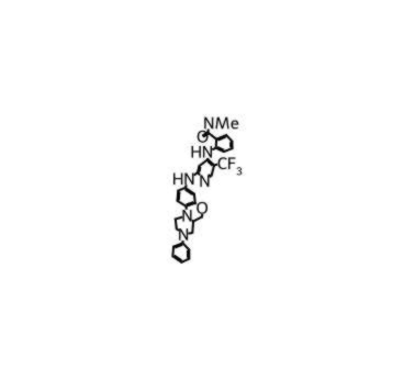 CNC(=O)c1ccccc1Nc1cc(Nc2ccc3c(c2)OCC2CN(c4ccccc4)CCN32)ncc1C(F)(F)F